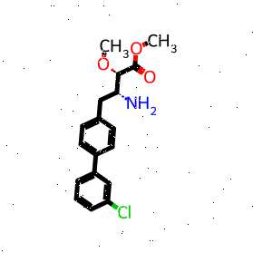 COC(=O)[C@@H](OC)[C@H](N)Cc1ccc(-c2cccc(Cl)c2)cc1